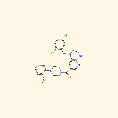 COc1ccccc1N1CCN(C(=O)c2cnc3c(c2)N(Cc2cc(Cl)ccc2Cl)CCN3)CC1